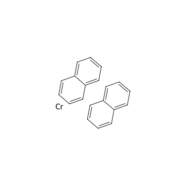 [Cr].c1ccc2ccccc2c1.c1ccc2ccccc2c1